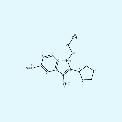 COc1ccc2c(c1)c(C=O)c(C1CCCC1)n2CCO